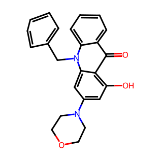 O=c1c2ccccc2n(Cc2ccccc2)c2cc(N3CCOCC3)cc(O)c12